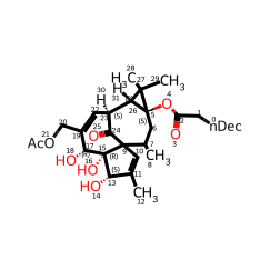 CCCCCCCCCCCC(=O)O[C@@]12CC(C)C34C=C(C)[C@H](O)[C@@]3(O)[C@H](O)C(COC(C)=O)=C[C@H](C4=O)[C@@H]1C2(C)C